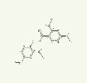 COc1ccc(/C=C/C(=O)c2ccc(OC)cc2OC)c(OC)c1